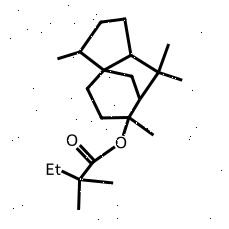 CCC(C)(C)C(=O)OC1(C)CCC23CC1C(C)(C)C2CCC3C